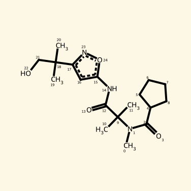 CN(C(=O)C1CCCC1)C(C)(C)C(=O)Nc1cc(C(C)(C)CO)no1